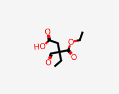 CCOC(=O)C(C=O)(CC)CC(=O)O